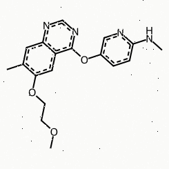 CNc1ccc(Oc2ncnc3cc(C)c(OCCOC)cc23)cn1